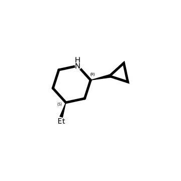 CC[C@H]1CCN[C@@H](C2CC2)C1